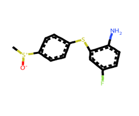 C[S+]([O-])c1ccc(Sc2cc(F)ccc2N)cc1